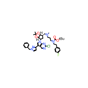 CN(CCCN(CCc1ccc(F)cc1)C(=O)OC(C)(C)C)C[C@H]1C[C@@H](n2cc(-c3ccn(Cc4ccccc4)n3)c3cnc(Cl)nc32)[C@@H]2OC(C)(C)O[C@H]12